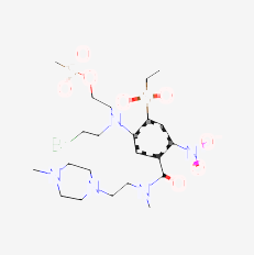 CCS(=O)(=O)c1cc([N+](=O)[O-])c(C(=O)N(C)CCN2CCN(C)CC2)cc1N(CCBr)CCOS(C)(=O)=O